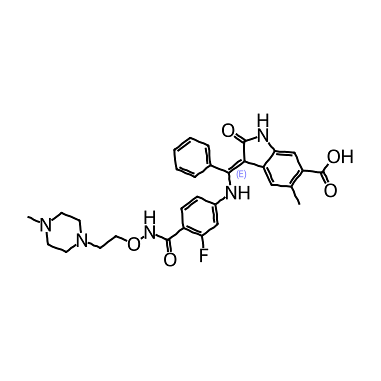 Cc1cc2c(cc1C(=O)O)NC(=O)/C2=C(/Nc1ccc(C(=O)NOCCN2CCN(C)CC2)c(F)c1)c1ccccc1